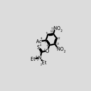 CCN(CC)C(=S)Oc1c(C(C)=O)cc([N+](=O)[O-])cc1[N+](=O)[O-]